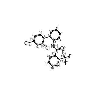 O=C(Nc1ccccc1-c1ccc(Cl)cc1Cl)c1cccnc1C(F)(F)F